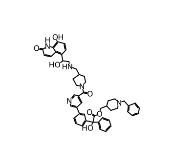 O=C(c1cncc(-c2cccc(C(O)(C(=O)OCC3CCN(Cc4ccccc4)CC3)c3ccccc3)c2)c1)N1CCC(CNCC(O)c2ccc(O)c3[nH]c(=O)ccc23)CC1